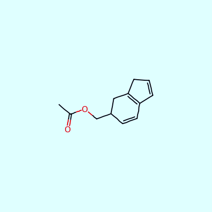 CC(=O)OCC1C=CC2=C(CC=C2)C1